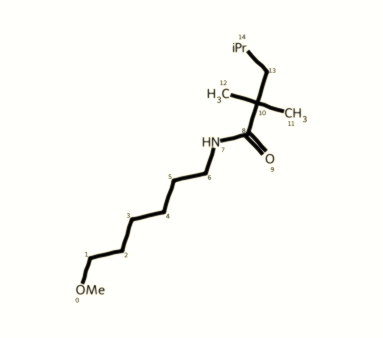 COCCCCCCNC(=O)C(C)(C)CC(C)C